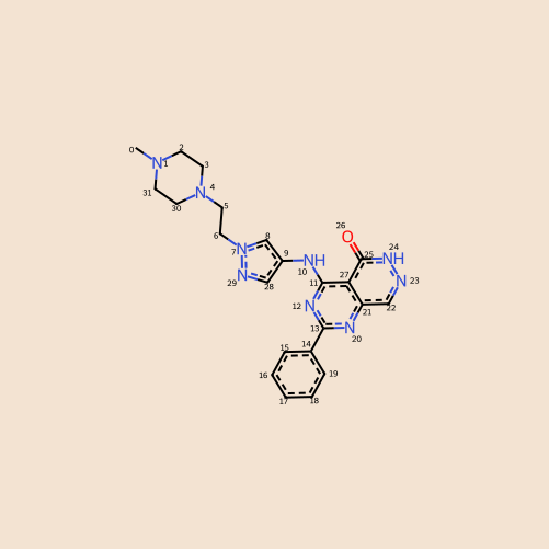 CN1CCN(CCn2cc(Nc3nc(-c4ccccc4)nc4cn[nH]c(=O)c34)cn2)CC1